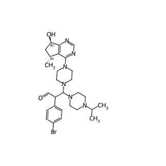 CC(C)N1CCN(C(C(C=O)c2ccc(Br)cc2)N2CCN(c3ncnc4c3[C@H](C)C[C@H]4O)CC2)CC1